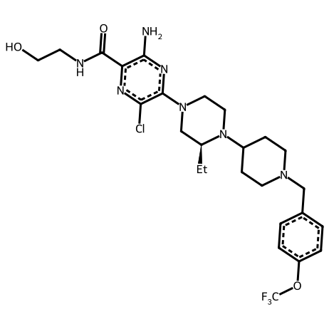 CC[C@H]1CN(c2nc(N)c(C(=O)NCCO)nc2Cl)CCN1C1CCN(Cc2ccc(OC(F)(F)F)cc2)CC1